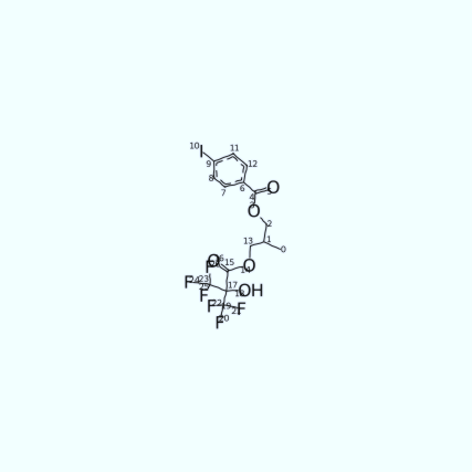 CC(COC(=O)c1ccc(I)cc1)COC(=O)C(O)(C(F)(F)F)C(F)(F)F